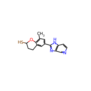 Cc1cc(-c2nc3cnccc3[nH]2)cc2c1OC(S)CC2